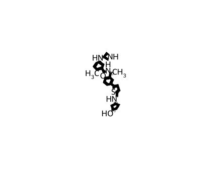 Cc1ccc(NC2CNC2)cc1C(=O)N[C@H](C)c1cccc(-c2ccc(CN[C@@H]3CC[C@@H](O)C3)s2)c1